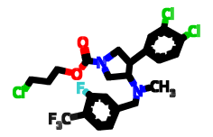 CN(Cc1ccc(C(F)(F)F)c(F)c1)C1CN(C(=O)OCCCCl)CC1c1ccc(Cl)c(Cl)c1